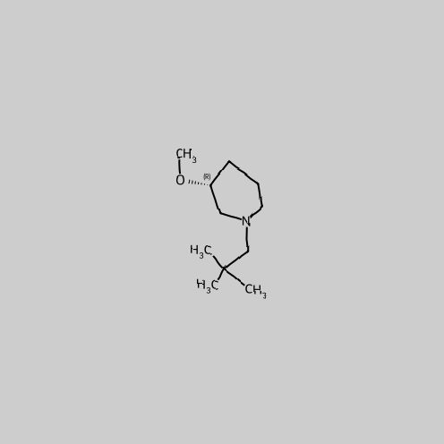 CO[C@@H]1CCCN(CC(C)(C)C)C1